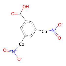 O=C(O)c1c[c]([Co][N+](=O)[O-])c[c]([Co][N+](=O)[O-])c1